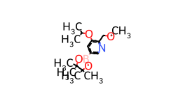 COCc1ncc(B2OC(C)(C)C(C)(C)O2)cc1OC(C)C